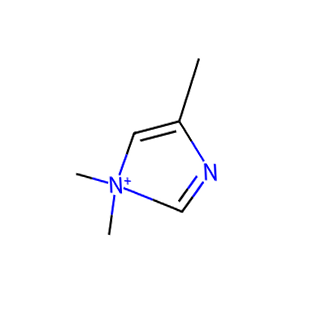 CC1=C[N+](C)(C)C=N1